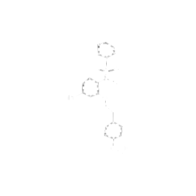 CC(=O)N(c1ccc(C(C)C)cc1OCCc1ccc(C(=O)O)cc1)S(=O)(=O)c1ccccc1